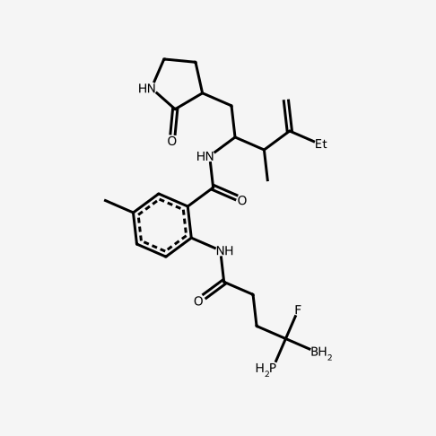 BC(F)(P)CCC(=O)Nc1ccc(C)cc1C(=O)NC(CC1CCNC1=O)C(C)C(=C)CC